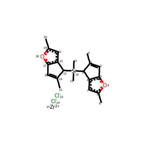 CC1=Cc2oc(C)cc2C1[Si](C)(C)C1C(C)=Cc2oc(C)cc21.[Cl-].[Cl-].[Zr+2]